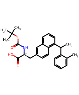 Cc1ccccc1C(C)c1cccc2cc(C[C@H](NC(=O)OC(C)(C)C)C(=O)O)ccc12